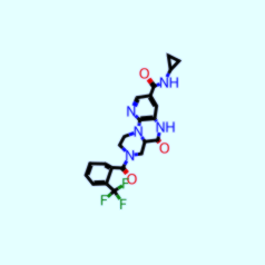 O=C(NC1CC1)c1cnc2c(c1)NC(=O)C1CN(C(=O)c3ccccc3C(F)(F)F)CCN21